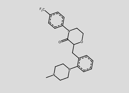 CN1CCN(c2ccccc2CC2OCCN(c3ccc(C(F)(F)F)cc3)C2=O)CC1